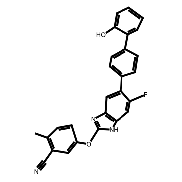 Cc1ccc(Oc2nc3cc(-c4ccc(-c5ccccc5O)cc4)c(F)cc3[nH]2)cc1C#N